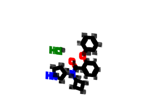 Cl.O=C(c1ccccc1Oc1ccccc1)N(C1CCC1)[C@H]1CCNC1